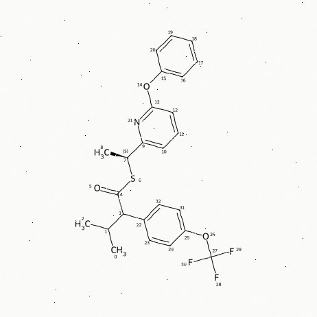 CC(C)C(C(=O)S[C@@H](C)c1cccc(Oc2ccccc2)n1)c1ccc(OC(F)(F)F)cc1